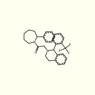 O=C(CN1CCc2ccccc2C1c1ccccc1C(F)(F)F)N1CCCCCC1c1ccccc1